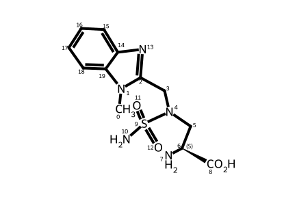 Cn1c(CN(C[C@H](N)C(=O)O)S(N)(=O)=O)nc2ccccc21